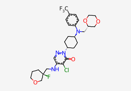 O=c1c(Cl)c(NC[C@@]2(F)CCCOC2)cnn1[C@H]1CC[C@H](N(C[C@H]2COCCO2)c2ccc(C(F)(F)F)cc2)CC1